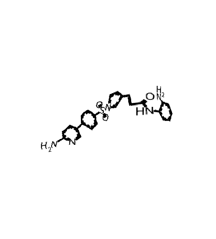 Nc1ccc(-c2ccc(S(=O)(=O)n3ccc(C=CC(=O)Nc4ccccc4N)c3)cc2)cn1